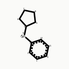 c1cc[c]([Sn][CH]2CCCC2)cc1